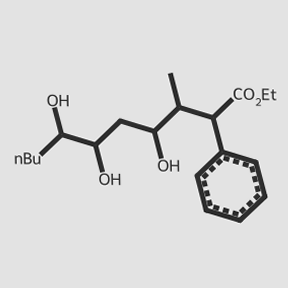 CCCCC(O)C(O)CC(O)C(C)C(C(=O)OCC)c1ccccc1